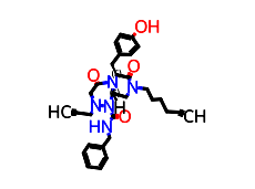 C#CCCCCN1C[C@H]2N(C(=O)CN(CC#C)N2C(=O)NCc2ccccc2)[C@@H](Cc2ccc(O)cc2)C1=O